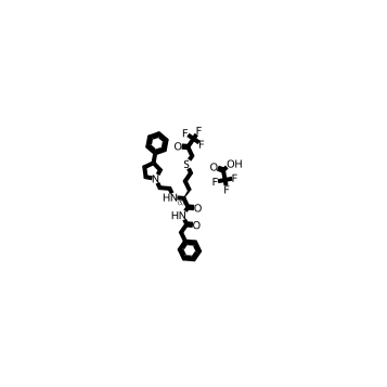 O=C(Cc1ccccc1)NC(=O)[C@H](CCCSCC(=O)C(F)(F)F)NCCN1CCC(c2ccccc2)C1.O=C(O)C(F)(F)F